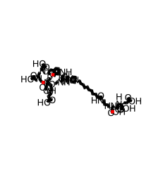 CCN1CCN(CC(=O)O)CCN(CC(=O)O)CCN(CC(=O)O)CC1Cc1ccc(Nc2nc(NCCOCCOCCC(=O)O)nc(N3CCN(CCCCCCCCCCC(=O)NCCCC[C@H](NC(=O)N[C@@H](CCC(=O)O)C(=O)O)C(=O)O)CC3)n2)cc1